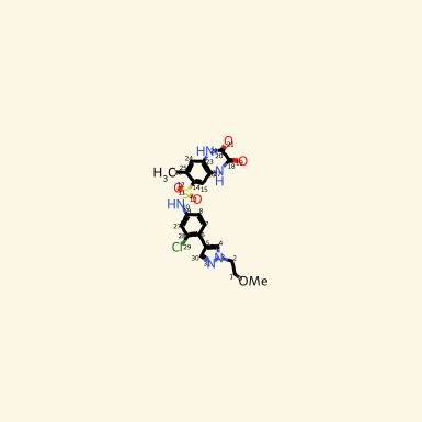 COCCn1cc(-c2ccc(NS(=O)(=O)c3cc4[nH]c(=O)c(=O)[nH]c4cc3C)cc2Cl)cn1